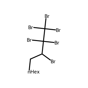 CCCCCCCC(Br)C(Br)(Br)C(Br)(Br)Br